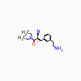 CCN(CC)C(=O)/C(C#N)=C/c1cccc(CCN)c1